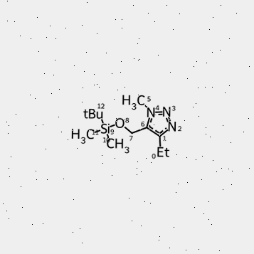 CCc1nnn(C)c1CO[Si](C)(C)C(C)(C)C